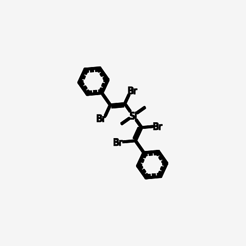 C[Si](C)(C(Br)=C(Br)c1ccccc1)C(Br)=C(Br)c1ccccc1